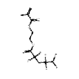 C=C(C)C(=O)OCCOC(=O)C(F)(F)CC(F)(F)C(F)F